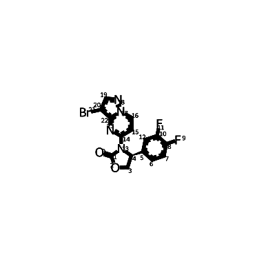 O=C1OC[C@H](c2ccc(F)c(F)c2)N1c1ccn2ncc(Br)c2n1